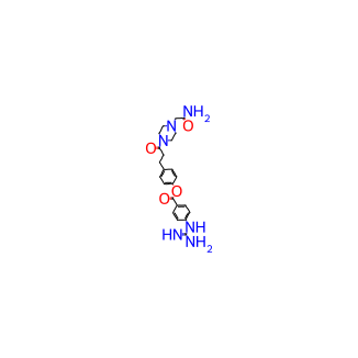 N=C(N)Nc1ccc(C(=O)Oc2ccc(CCC(=O)N3CCN(CC(N)=O)CC3)cc2)cc1